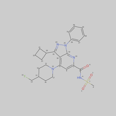 CS(=O)(=O)NC(=O)c1cc(N2CCC(CF)CC2)c2c(C3CCC3)nn(-c3ccccc3)c2n1